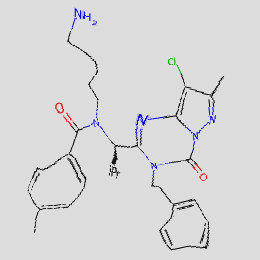 Cc1ccc(C(=O)N(CCCCN)[C@@H](c2nc3c(Cl)c(C)nn3c(=O)n2Cc2ccccc2)C(C)C)cc1